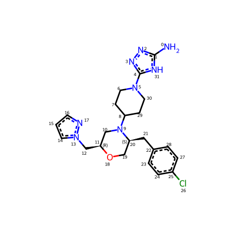 Nc1nnc(N2CCC(N3C[C@H](Cn4cccn4)OC[C@@H]3Cc3ccc(Cl)cc3)CC2)[nH]1